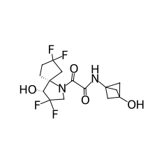 O=C(NC12CC(O)(C1)C2)C(=O)N1CC(F)(F)[C@H](O)[C@]12CCC(F)(F)C2